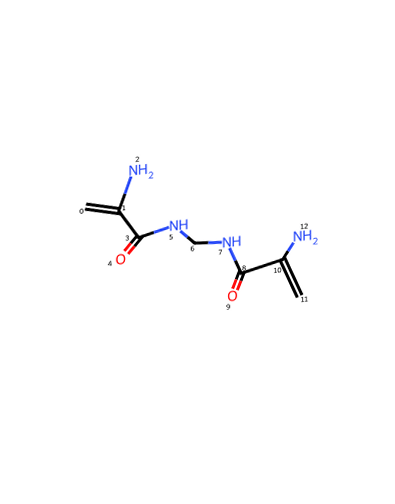 C=C(N)C(=O)NCNC(=O)C(=C)N